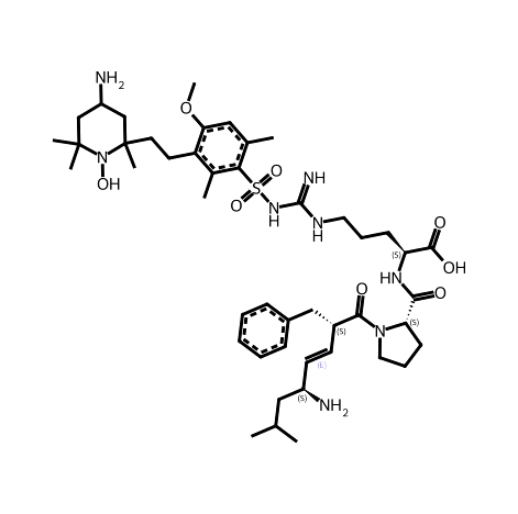 COc1cc(C)c(S(=O)(=O)NC(=N)NCCC[C@H](NC(=O)[C@@H]2CCCN2C(=O)[C@H](/C=C/[C@@H](N)CC(C)C)Cc2ccccc2)C(=O)O)c(C)c1CCC1(C)CC(N)CC(C)(C)N1O